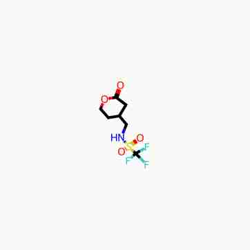 O=C1CC(CNS(=O)(=O)C(F)(F)F)CCO1